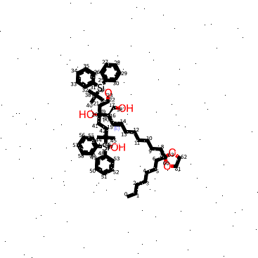 CCCCCCCC1(CCCCCC/C=C/[C@H](CO)[C@@](O)(CCO[Si](c2ccccc2)(c2ccccc2)C(C)(C)C)CCC(C)(C)[Si](O)(c2ccccc2)c2ccccc2)OCCO1